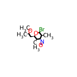 CO[C@@H](C)C[C@H]1OC(Br)[C@@H](C)[C@H](N=O)[C@@H]1C